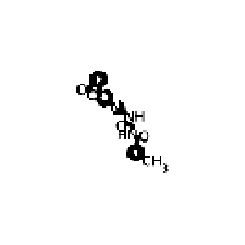 Cc1cccc(C(=O)NCC(=O)NC2CN([C@H]3CC[C@@]4(CC3)OC(=O)c3ccccc34)C2)c1